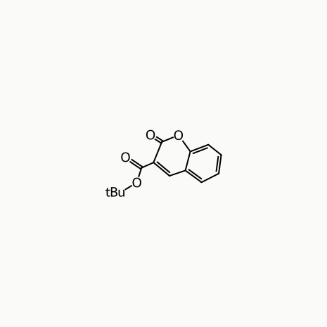 CC(C)(C)OC(=O)c1cc2ccccc2oc1=O